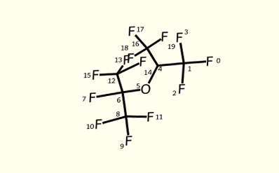 FC(F)(F)C(OC(F)(C(F)(F)F)C(F)(F)F)C(F)(F)F